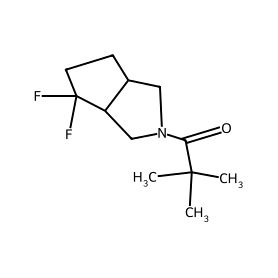 CC(C)(C)C(=O)N1CC2CCC(F)(F)C2C1